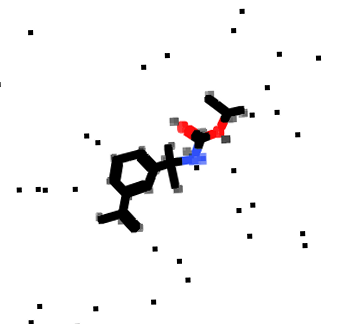 C=C(C)c1cccc(C(C)(C)NC(=O)OC(C)C)c1